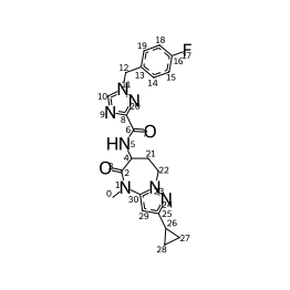 CN1C(=O)C(NC(=O)c2ncn(Cc3ccc(F)cc3)n2)CCn2nc(C3CC3)cc21